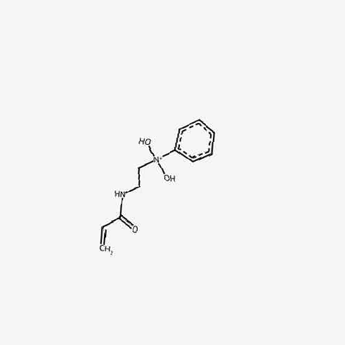 C=CC(=O)NCC[N+](O)(O)c1ccccc1